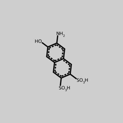 Nc1cc2cc(S(=O)(=O)O)c(S(=O)(=O)O)cc2cc1O